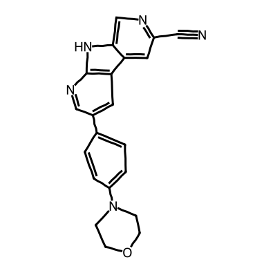 N#Cc1cc2c(cn1)[nH]c1ncc(-c3ccc(N4CCOCC4)cc3)cc12